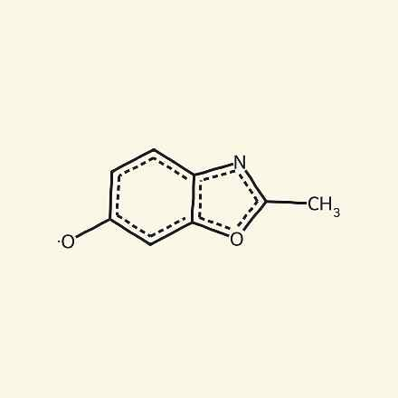 Cc1nc2ccc([O])cc2o1